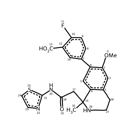 COc1cc2c(cc1-c1ccc(F)c(C(=O)O)c1)C(C)(CC(=O)Nc1nccs1)NCC2